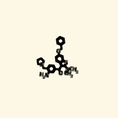 CN(C)c1sc2cc(OCc3ccccc3)ccc2c1C(=O)c1ccc(CN2CCCC2)c(N)c1